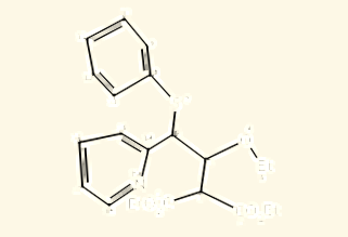 CCOC(=O)C(C(=O)OCC)C(OCC)C(Sc1ccccc1)c1ccccn1